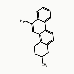 Cc1cc2c3c(ccc2c2ccccc12)CC(C)CC3